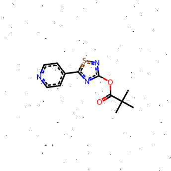 CC(C)(C)C(=O)Oc1nsc(-c2ccncc2)n1